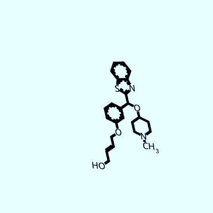 CN1CCC(OC(c2cccc(OCC=CCO)c2)c2nc3ccccc3s2)CC1